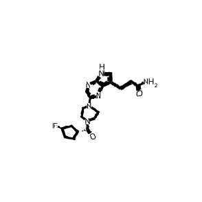 NC(=O)/C=C/c1c[nH]c2ncc(N3CCN(C(=O)[C@@H]4CC[C@@H](F)C4)CC3)nc12